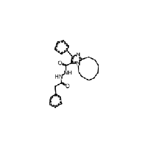 O=C(Cc1ccccc1)NNC(=O)c1c(-c2ccccc2)nc2n1CCCCCCCC2